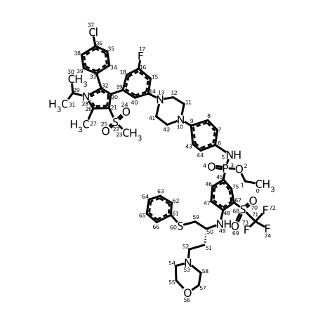 CCOP(=O)(Nc1ccc(N2CCN(c3cc(F)cc(-c4c(S(C)(=O)=O)c(C)n(C(C)C)c4-c4ccc(Cl)cc4)c3)CC2)cc1)c1ccc(N[C@H](CCN2CCOCC2)CSc2ccccc2)c(S(=O)(=O)C(F)(F)F)c1